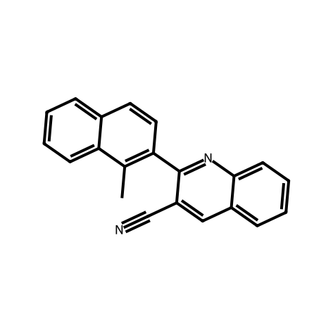 Cc1c(-c2nc3ccccc3cc2C#N)ccc2ccccc12